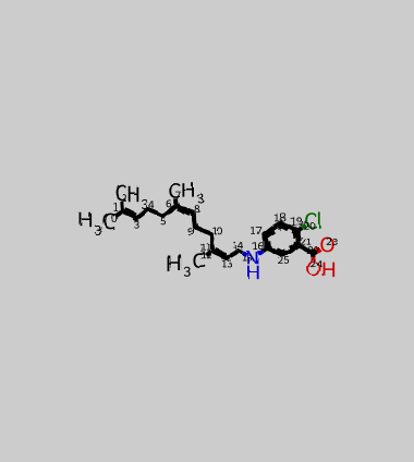 CC(C)=CCCC(C)=CCCC(C)=CCNc1ccc(Cl)c(C(=O)O)c1